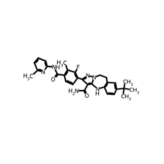 Cc1cccc(NC(=O)c2ccc(-c3nn4c(c3C(N)=O)Nc3ccc(C(C)(C)C)cc3CC4)c(F)c2C)n1